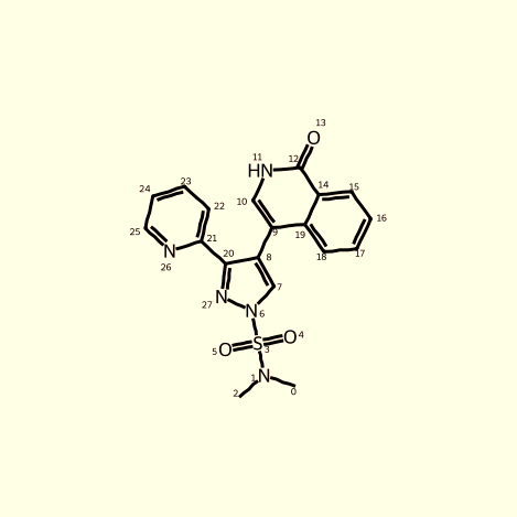 CN(C)S(=O)(=O)n1cc(-c2c[nH]c(=O)c3ccccc23)c(-c2ccccn2)n1